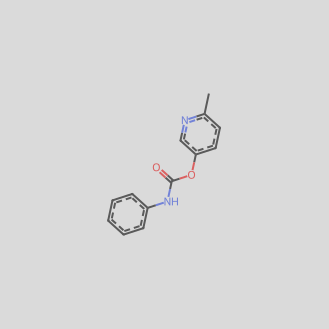 Cc1ccc(OC(=O)Nc2ccccc2)cn1